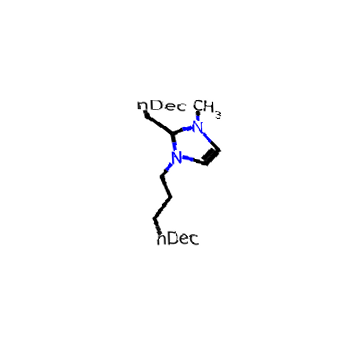 CCCCCCCCCCCCCN1C=CN(C)C1CCCCCCCCCCC